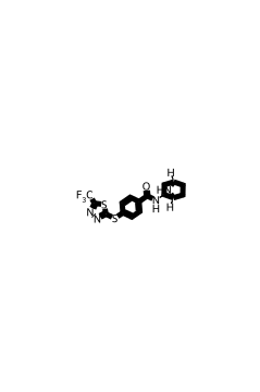 O=C(N[C@@H]1C[C@H]2CC[C@@H]1N2)c1ccc(Sc2nnc(C(F)(F)F)s2)cc1